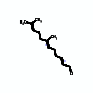 CC(C)=CCC/C(C)=C/CC/C=C/CCl